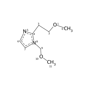 COCCc1nccn1COC